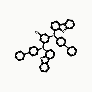 Clc1cc(N(c2ccc(-c3ccccc3)cc2)c2cccc3c2oc2ccccc23)cc(N(c2ccc(-c3ccccc3)cc2)c2cccc3c2oc2ccccc23)c1